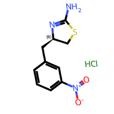 Cl.NC1=N[C@H](Cc2cccc([N+](=O)[O-])c2)CS1